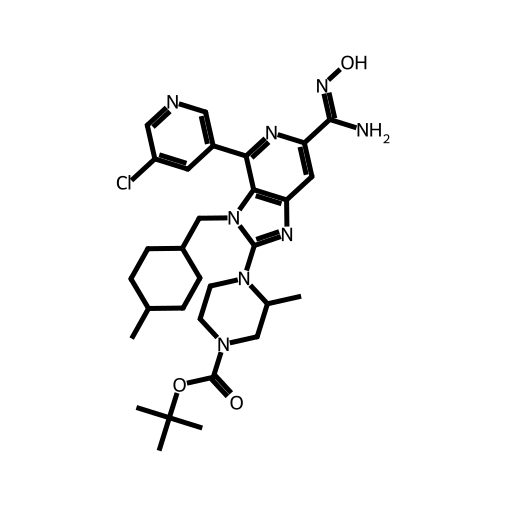 CC1CCC(Cn2c(N3CCN(C(=O)OC(C)(C)C)CC3C)nc3cc(C(N)=NO)nc(-c4cncc(Cl)c4)c32)CC1